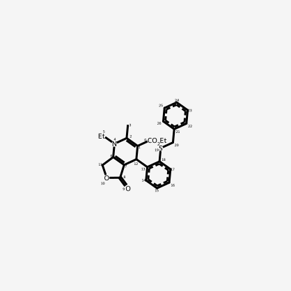 CCOC(=O)C1=C(C)N(CC)C2=C(C(=O)OC2)C1c1ccccc1SCc1ccccc1